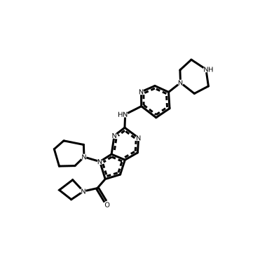 O=C(c1cc2cnc(Nc3ccc(N4CCNCC4)cn3)nc2n1N1CCCCC1)N1CCC1